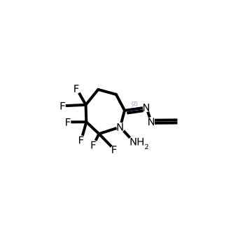 C=N/N=C1/CCC(F)(F)C(F)(F)C(F)(F)N1N